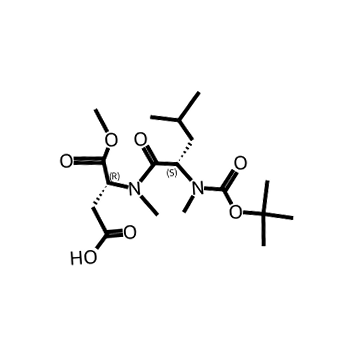 COC(=O)[C@@H](CC(=O)O)N(C)C(=O)[C@H](CC(C)C)N(C)C(=O)OC(C)(C)C